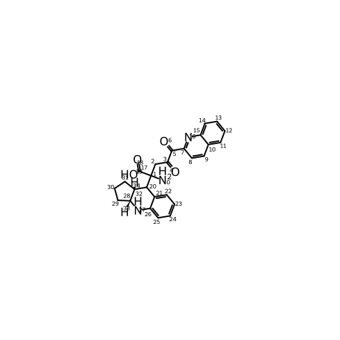 NC(CC(=O)C(=O)c1ccc2ccccc2n1)(C(=O)O)C1c2ccccc2N[C@@H]2CCC[C@H]12